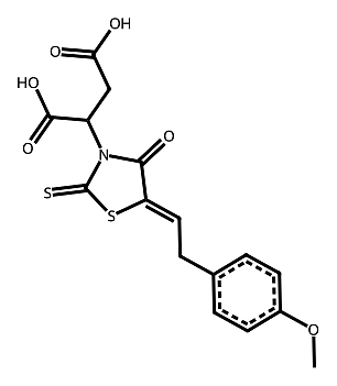 COc1ccc(CC=C2SC(=S)N(C(CC(=O)O)C(=O)O)C2=O)cc1